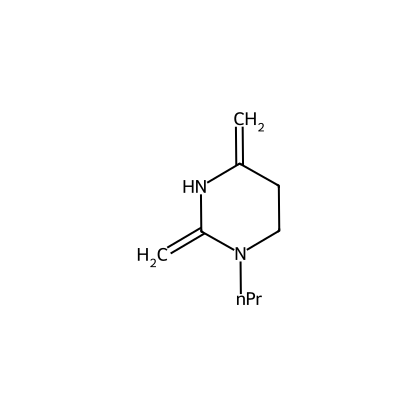 C=C1CCN(CCC)C(=C)N1